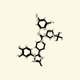 Cc1nc(C2CCN(C(=O)[C@@H]3CN(C(C)(C)C)C[C@H]3c3ccc(F)cc3F)CC2)n(-c2ccc(C)c(C)c2)n1